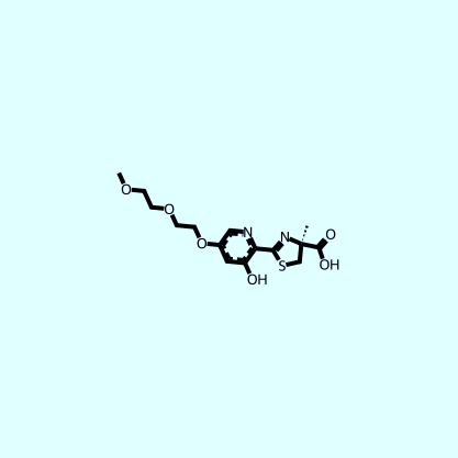 COCCOCCOc1cnc(C2=N[C@@](C)(C(=O)O)CS2)c(O)c1